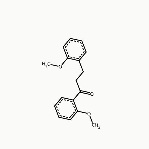 COc1ccccc1CCC(=O)c1ccccc1OC